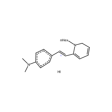 CCCCCCN1CC=CC=C1/C=C/c1ccc(N(C)C)cc1.I